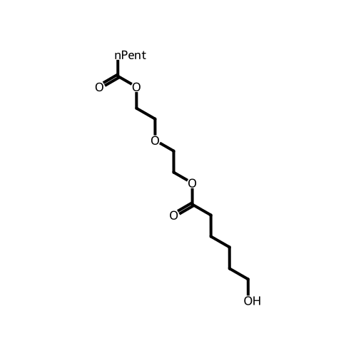 CCCCCC(=O)OCCOCCOC(=O)CCCCCO